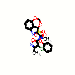 Cc1noc(N(C)S(=O)(=O)C23OCOc4cccc(c42)N=C3C(=O)Oc2ccccc2)c1Cl